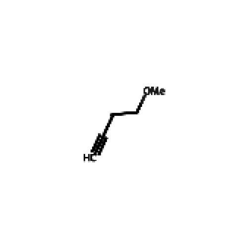 C#C[CH]CO[CH2]